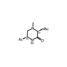 CCCC[C@H]1C(=O)N[C@@H](C(C)=O)CN1C